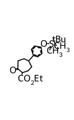 CCOC(=O)C1CCC(c2ccc(O[Si](C)(C)C(C)(C)C)cc2)CCC1=O